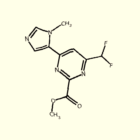 COC(=O)c1nc(-c2cncn2C)cc(C(F)F)n1